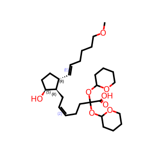 COCCCC/C=C/[C@H]1CC[C@H](O)[C@@H]1C/C=C\CCC(OC1CCCCO1)(OC1CCCCO1)C(=O)O